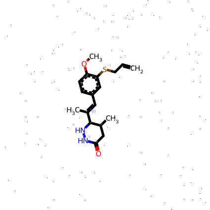 C=CCSc1cc(/C=C(\C)C2NNC(=O)CC2C)ccc1OC